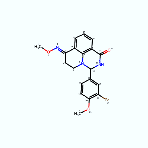 CON=C1CCN2c3c(cccc31)C(=O)NC2c1ccc(OC)c(Br)c1